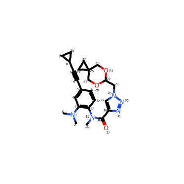 CN(C)c1cc(C#CC2CC2)ccc1N(C)C(=O)c1cn(CC2OCC3(CC3)CO2)nn1